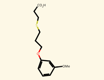 COc1cccc(OCCCSCCC(=O)O)c1